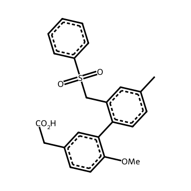 COc1ccc(CC(=O)O)cc1-c1ccc(C)cc1CS(=O)(=O)c1ccccc1